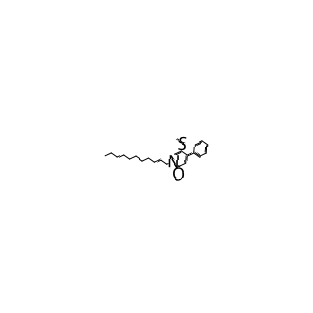 CCCCCCCCCCCn1cc(SC)c(-c2ccccc2)cc1=O